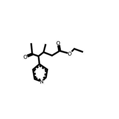 CCOC(=O)CC(C)C(C(C)=O)c1ccncc1